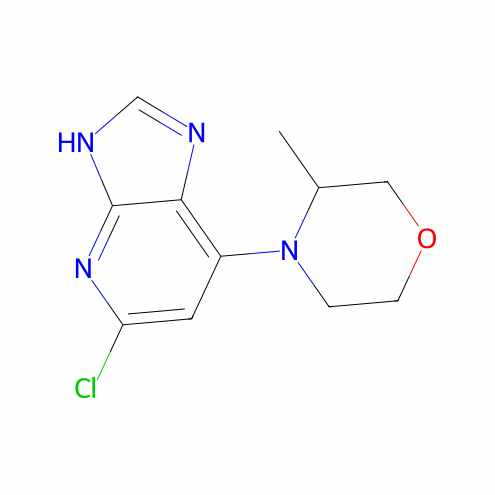 CC1COCCN1c1cc(Cl)nc2[nH]cnc12